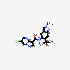 Cn1cc2cc(NC(=O)c3cnn4cc(Cl)cnc34)c(C(C)(C)O)cc2n1